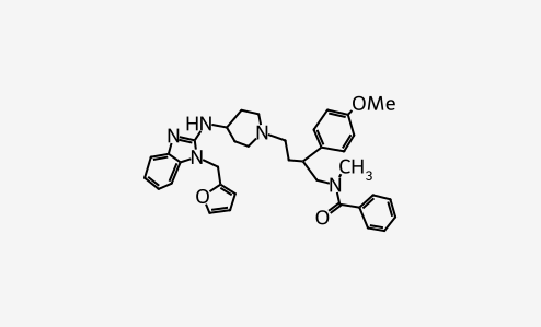 COc1ccc(C(CCN2CCC(Nc3nc4ccccc4n3Cc3ccco3)CC2)CN(C)C(=O)c2ccccc2)cc1